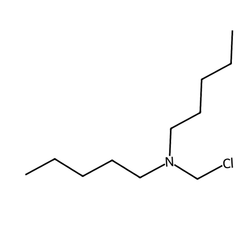 CCCCCN(CCl)CCCCC